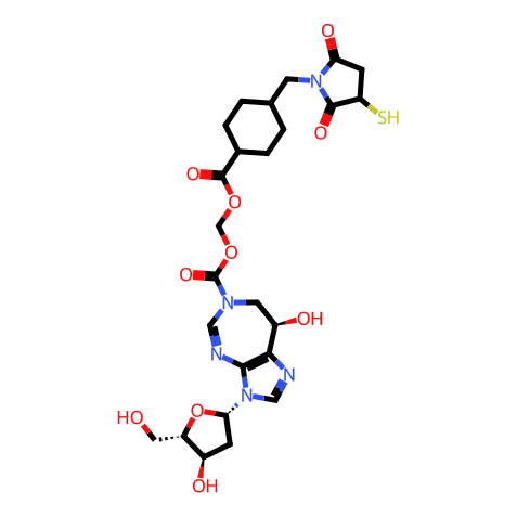 O=C(OCOC(=O)N1C=Nc2c(ncn2[C@@H]2C[C@@H](O)[C@H](CO)O2)[C@H](O)C1)C1CCC(CN2C(=O)CC(S)C2=O)CC1